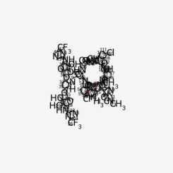 COC[C@@H]1NC(=O)[C@H](CCCNc2cc(OC[C@H]3OC[C@H](Nc4cncc(C(F)(F)F)n4)[C@@H](O)[C@H]3O)ccc2OC[C@H]2OC[C@H](Nc3cncc(C(F)(F)F)n3)[C@@H](O)[C@H]2O)N(Cc2ccc(Cl)cc2Oc2ccc(-c3cnc(CN(C)C)n3C)cc2)C(=O)C[C@@H](Cc2ccccc2)C(=O)N(C)[C@H]2CCCC[C@@H]2NC(=O)C[C@H](Cc2ccc(Cl)cc2)N(C)C1=O